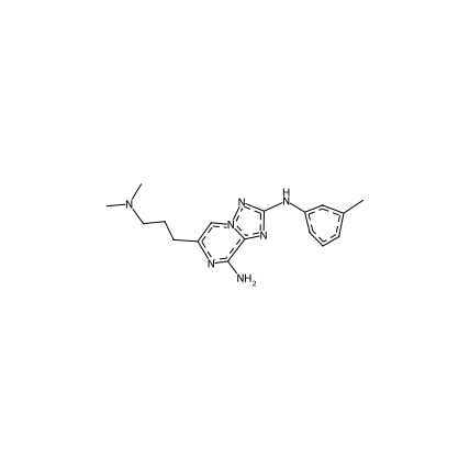 Cc1cccc(Nc2nc3c(N)nc(CCCN(C)C)cn3n2)c1